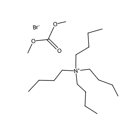 CCCC[N+](CCCC)(CCCC)CCCC.COC(=O)OC.[Br-]